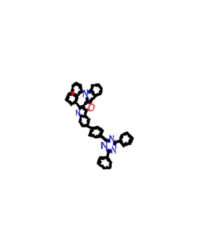 c1ccc(-c2nc(-c3ccccc3)nc(-c3ccc(-c4ccc5nc(-c6ccccc6)c6c(oc7c8ccccc8n(-c8ccccc8)c76)c5c4)cc3)n2)cc1